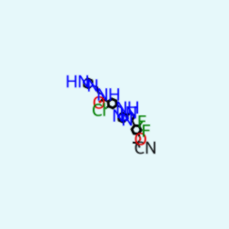 CC(C#N)Oc1ccc(-c2cnc3c(Nc4ccc(C(=O)NCCN5CCNCC5)c(Cl)c4)nccn23)c(F)c1F